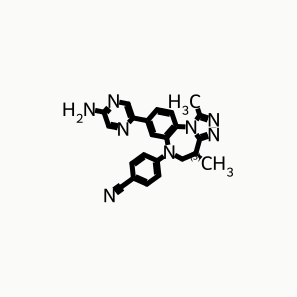 Cc1nnc2n1-c1ccc(-c3cnc(N)cn3)cc1N(c1ccc(C#N)cc1)C[C@@H]2C